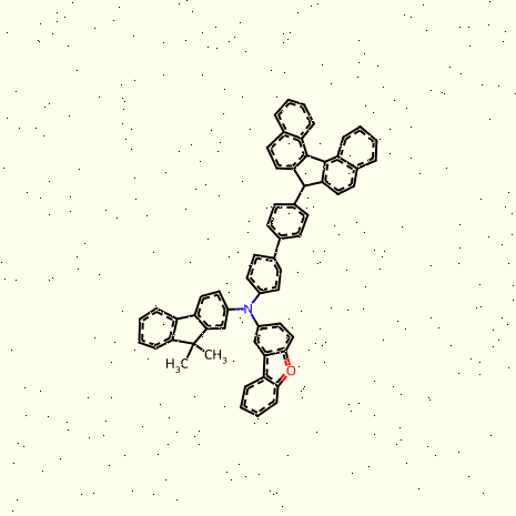 CC1(C)c2ccccc2-c2ccc(N(c3ccc(-c4ccc(C5c6ccc7ccccc7c6-c6c5ccc5ccccc65)cc4)cc3)c3ccc4oc5ccccc5c4c3)cc21